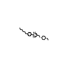 CCCCCCc1ccc(-c2ncc(CC[C@H]3CC[C@H](CC)CC3)cn2)cc1